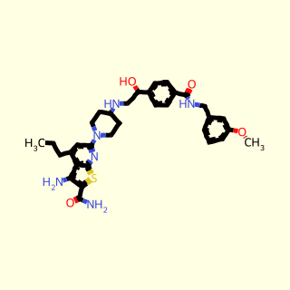 CCCc1cc(N2CCC(NCC(O)c3ccc(C(=O)NCc4cccc(OC)c4)cc3)CC2)nc2sc(C(N)=O)c(N)c12